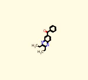 CCc1nc2ccc(C(=O)c3ccccc3)cc2nc1CC